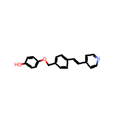 Oc1ccc(OCc2ccc(/C=C/c3ccncc3)cc2)cc1